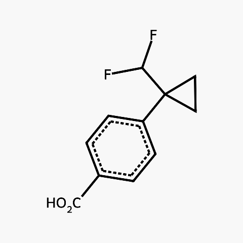 O=C(O)c1ccc(C2(C(F)F)CC2)cc1